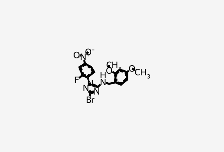 COc1ccc(CNc2nc(Br)nn2-c2ccc([N+](=O)[O-])cc2F)c(OC)c1